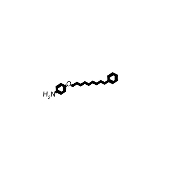 Nc1ccc(OCCCCCCCCCc2ccccc2)cc1